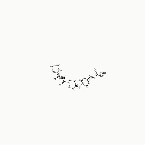 O=C(/C=C/c1ccc(CN2CCN(C(=O)NC(=O)c3ccccc3)CC2)cc1)NO